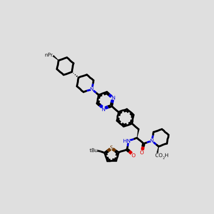 CCC[C@H]1CC[C@H](C2CCN(c3cnc(-c4ccc(C[C@H](NC(=O)c5ccc(C(C)(C)C)s5)C(=O)N5CCCC[C@H]5C(=O)O)cc4)nc3)CC2)CC1